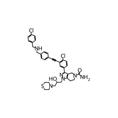 NC(=O)N1CCc2c(c(-c3ccc(Cl)c(C#Cc4ccc(CNCc5ccc(Cl)cc5)cc4)c3)nn2C[C@H](O)CN2CCSCC2)C1